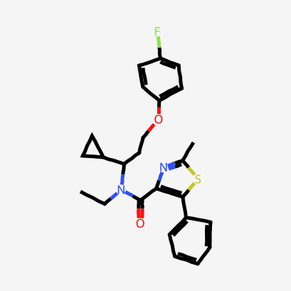 CCN(C(=O)c1nc(C)sc1-c1ccccc1)C(CCOc1ccc(F)cc1)C1CC1